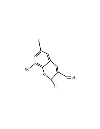 N#Cc1cc(Cl)cc2c1OC(C(F)(F)F)C(C(=O)O)=C2